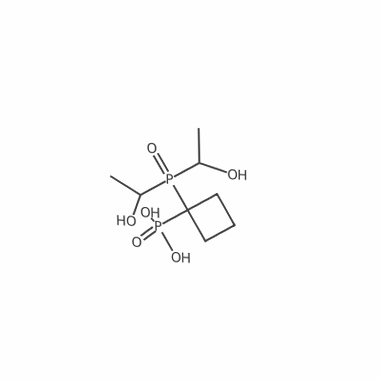 CC(O)P(=O)(C(C)O)C1(P(=O)(O)O)CCC1